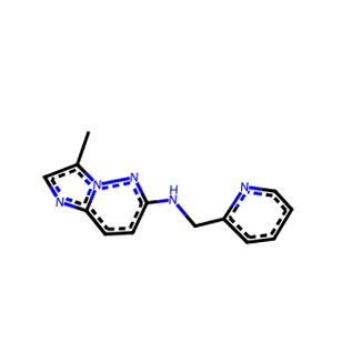 Cc1cnc2ccc(NCc3ccccn3)nn12